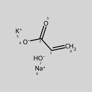 C=CC(=O)[O-].[K+].[Na+].[OH-]